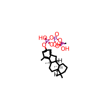 Cc1cc(OP(=O)(O)OP(=O)(O)OP(C)(=O)O)cc2c1[C@]1(C)CC[C@H]3C(C)(C)CCC[C@]3(C)[C@H]1C2